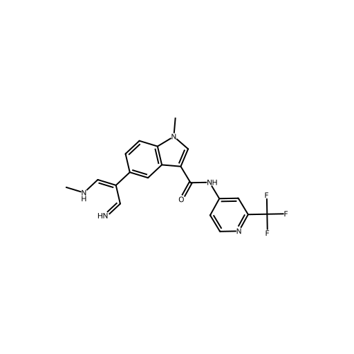 CN/C=C(\C=N)c1ccc2c(c1)c(C(=O)Nc1ccnc(C(F)(F)F)c1)cn2C